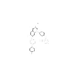 O=C(O)Oc1cn(-c2ccc(CN3C=NCN3)cc2)c2c(Cl)c(N3CCN(c4ccc(Cl)cc4)CC3)c(F)cc2c1=O